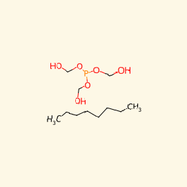 CCCCCCCC.OCOP(OCO)OCO